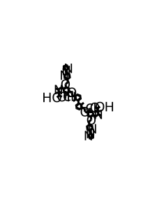 Cc1c(COc2cc(OCc3ccc(-n4cccn4)nc3)c(CN(C)C(C)(C)C(=O)O)cc2Cl)cccc1-c1cccc(COc2cc(OCc3ccc(-n4cccn4)nc3)c(CN(C)C(C)(C)C(O)O)cc2Cl)c1C